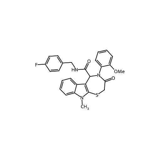 COc1ccccc1N1C(=O)CSc2c(c3ccccc3n2C)C1C(=O)NCc1ccc(F)cc1